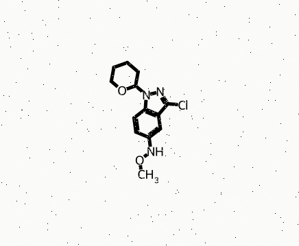 CONc1ccc2c(c1)c(Cl)nn2C1CCCCO1